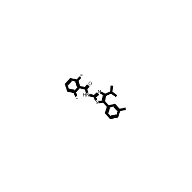 Cc1cccc(-c2sc(NC(=O)c3c(F)cccc3F)nc2C(C)C)c1